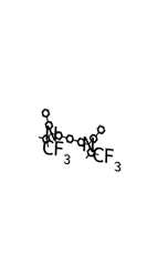 Cc1cc(N(c2ccc(-c3ccccc3)cc2)c2ccc(-c3ccc(-c4ccc(N(c5ccc(-c6ccccc6)cc5)c5cc(C)cc(C(F)(F)F)c5)cc4)cc3)cc2)cc(C(F)(F)F)c1